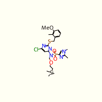 COc1cccc(CSc2nc(Cl)cc(N(COCC[Si](C)(C)C)S(=O)(=O)c3cn(C)c(C)n3)n2)c1C